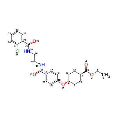 CCOC(=O)[C@H]1CC[C@@H](Oc2ccc(C(=O)NCCNC(=O)c3ccccc3Cl)cc2)CC1